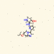 CC(C)Oc1ccn2c(-c3cccc(N[C@]4(C)CNCC[C@@H]4O)n3)cnc2c1